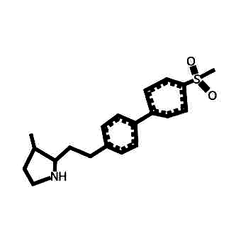 CC1CCNC1CCc1ccc(-c2ccc(S(C)(=O)=O)cc2)cc1